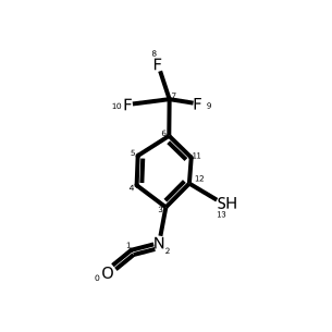 O=C=Nc1ccc(C(F)(F)F)cc1S